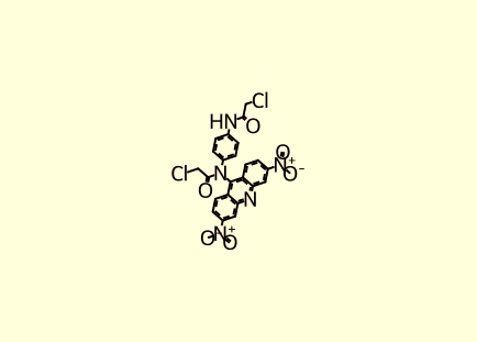 O=C(CCl)Nc1ccc(N(C(=O)CCl)c2c3ccc([N+](=O)[O-])cc3nc3cc([N+](=O)[O-])ccc23)cc1